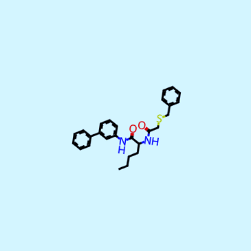 CCCCC(NC(=O)CSCc1ccccc1)C(=O)Nc1cccc(-c2ccccc2)c1